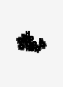 O=C(C(O)c1cccc(-c2cccc(F)c2)c1)N1CCCc2nc(C3(c4cccc(C5CCCCC5)c4)CC3)[nH]c(=O)c2C1